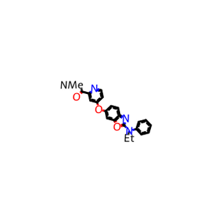 CCN(c1ccccc1)c1nc2ccc(Oc3ccnc(C(=O)NC)c3)cc2o1